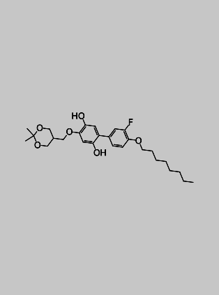 CCCCCCCCOc1ccc(-c2cc(O)c(OCC3COC(C)(C)OC3)cc2O)cc1F